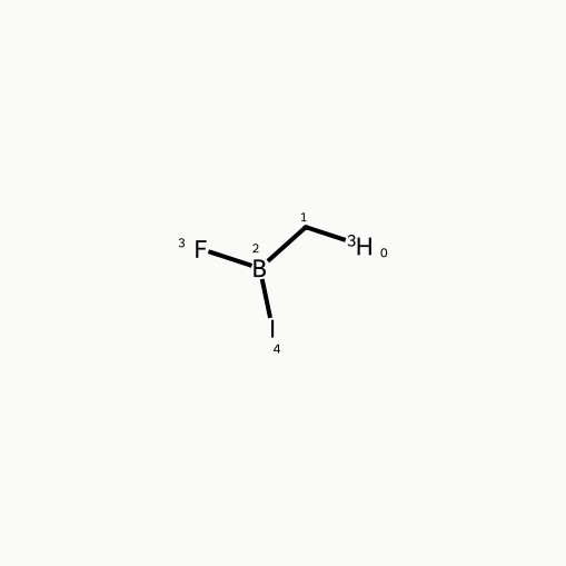 [3H]CB(F)I